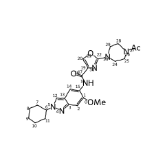 COc1cc2nn(C3CCCCC3)cc2cc1NC(=O)c1coc(N2CCN(C(C)=O)CC2)n1